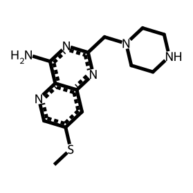 CSc1cnc2c(N)nc(CN3CCNCC3)nc2c1